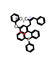 O=C(O)/C(=C/c1ccccc1)Cc1cc(Oc2ccccc2)ccc1-c1ccccc1P(c1ccccc1)c1ccccc1